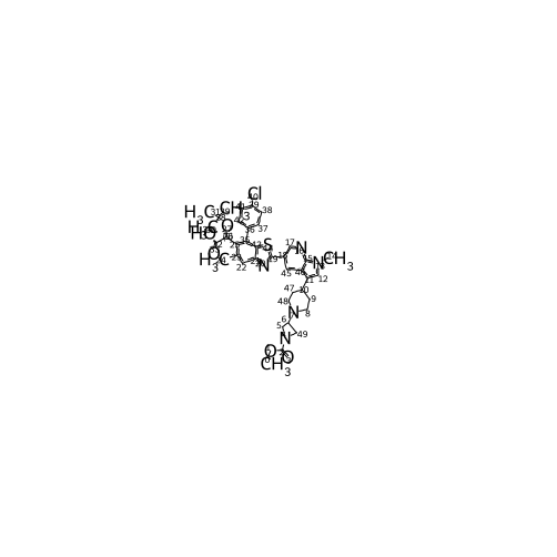 COC(=O)N1CC(N2CCC(c3cn(C)c4ncc(-c5nc6cc(C)c([C@H](OC(C)(C)C)C(=O)O)c(-c7ccc(Cl)cc7)c6s5)cc34)CC2)C1